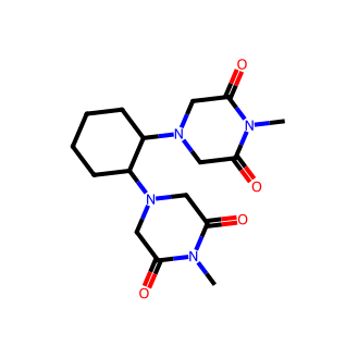 CN1C(=O)CN(C2CCCCC2N2CC(=O)N(C)C(=O)C2)CC1=O